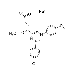 COc1ccc(N2C=C(C(=O)CCC(=O)[O-])N=C(c3ccc(Cl)cc3)C2)cc1.O.[Na+]